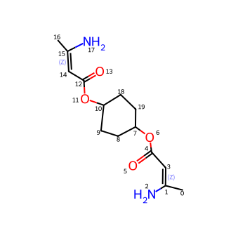 C/C(N)=C/C(=O)OC1CCC(OC(=O)/C=C(/C)N)CC1